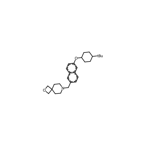 CC(C)(C)C1CCC(Oc2ccc3cc(CN4CCC5(CC4)COC5)ccc3c2)CC1